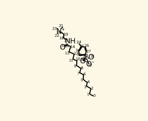 CCCCCCCCCCCCCCCC(=O)NCC[N+](C)(C)C.Cc1ccc(S(=O)(=O)[O-])cc1